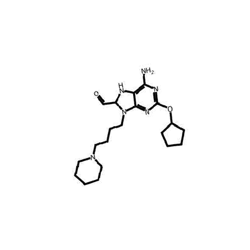 Nc1nc(OC2CCCC2)nc2c1NC(C=O)N2CCCCN1CCCCC1